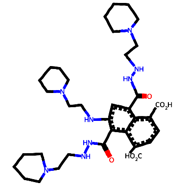 O=C(O)c1ccc(C(=O)O)c2c(C(=O)NNCCN3CCCCC3)c(NCCN3CCCCC3)cc(C(=O)NNCCN3CCCCC3)c12